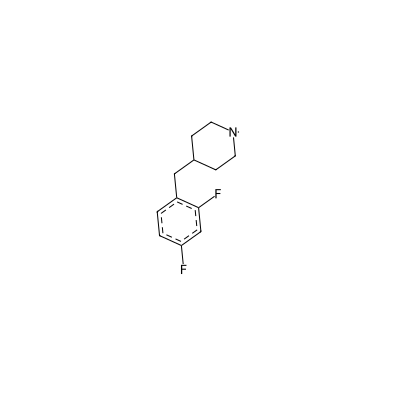 Fc1ccc(CC2CC[N]CC2)c(F)c1